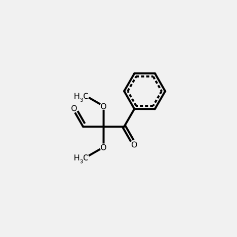 COC(C=O)(OC)C(=O)c1ccccc1